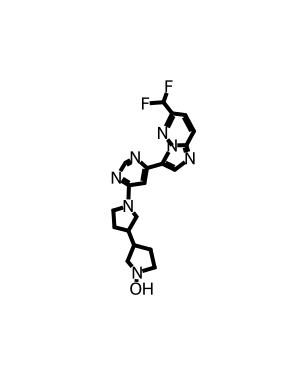 ON1CCC(C2CCN(c3cc(-c4cnc5ccc(C(F)F)nn45)ncn3)C2)C1